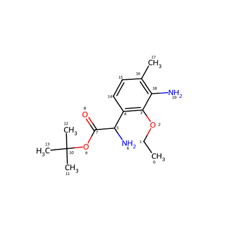 CCOc1c(C(N)C(=O)OC(C)(C)C)ccc(C)c1N